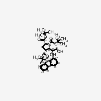 CC(C)(C)OC(=O)[C@H]1C[C@@H](CO[Si](c2ccccc2)(c2ccccc2)C(C)(C)C)[C@H]([C@@H](O)CO)N1C(=O)OC(C)(C)C